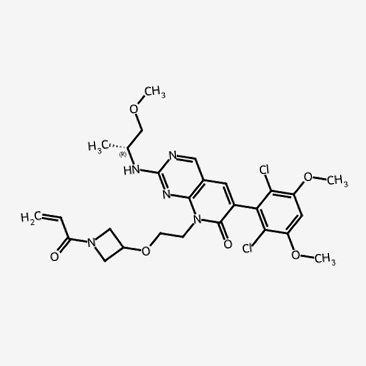 C=CC(=O)N1CC(OCCn2c(=O)c(-c3c(Cl)c(OC)cc(OC)c3Cl)cc3cnc(N[C@H](C)COC)nc32)C1